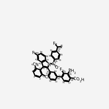 N#Cc1cccc(C#N)c1-c1c(-c2cccc(-c3ccc(C(=O)O)c(P)c3F)c2)n([S+]([O-])c2ccc(C(F)F)cc2)c2ccc(F)cc12